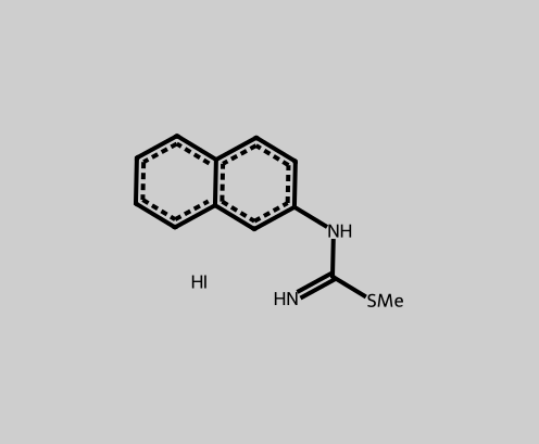 CSC(=N)Nc1ccc2ccccc2c1.I